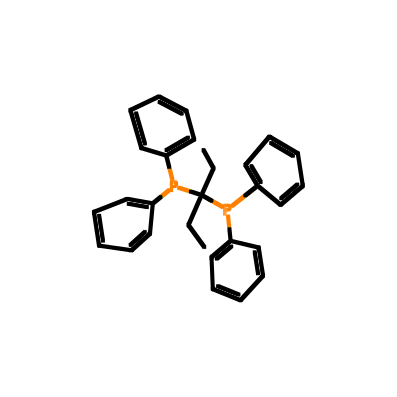 CCC(CC)(P(c1ccccc1)c1ccccc1)P(c1ccccc1)c1ccccc1